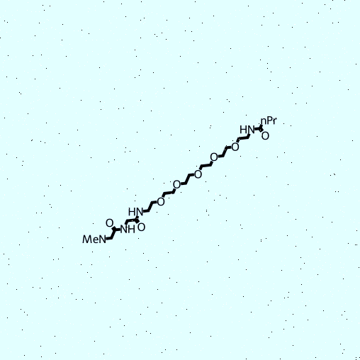 CCCC(=O)NCCOCCOCCOCCOCCOCCNC(=O)CNC(=O)CNC